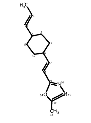 CC=CC1CCC(C=Cc2nnc(C)o2)CC1